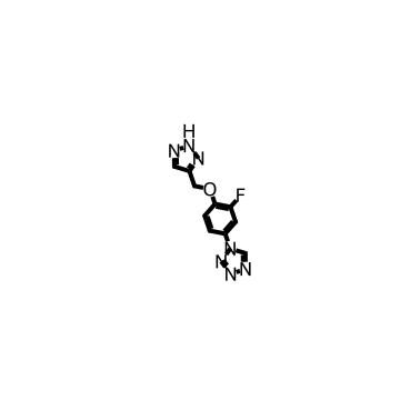 Fc1cc(-n2cnnn2)ccc1OCc1cn[nH]n1